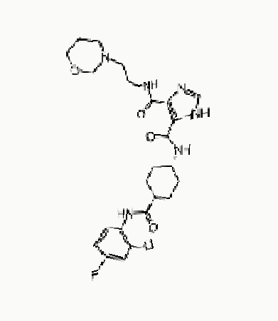 O=C(NCCN1CCCOC1)c1nc[nH]c1C(=O)N[C@H]1CC[C@H](C(=O)Nc2ccc(F)cc2Cl)CC1